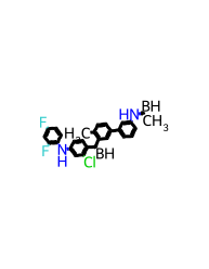 B=C(C)Nc1cccc(-c2ccc(C)c(C(=B)c3ccc(Nc4ccc(F)cc4F)cc3Cl)c2)c1